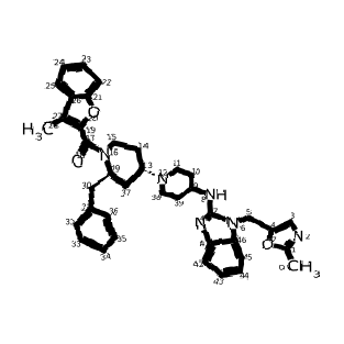 Cc1ncc(Cn2c(NC3CCN([C@H]4CCN(C(=O)c5oc6ccccc6c5C)[C@H](Cc5ccccc5)C4)CC3)nc3ccccc32)o1